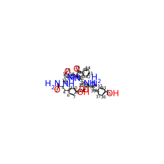 NC(=O)[C@H](Cc1ccc(O)cc1)NC[C@H](C=O)NC[C@H](NC[C@H](C=O)NC(=O)[C@@H](N)Cc1ccc(O)cc1)C(=O)c1ccccc1